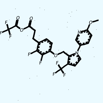 COc1ccc(-n2ccc(C(F)(F)F)c2COc2ccc(CCC(=O)OC(=O)C(F)(F)F)c(F)c2F)cn1